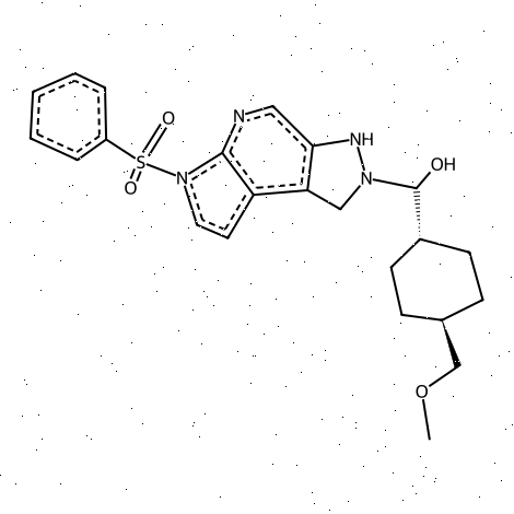 COC[C@H]1CC[C@H](C(O)N2Cc3c(cnc4c3ccn4S(=O)(=O)c3ccccc3)N2)CC1